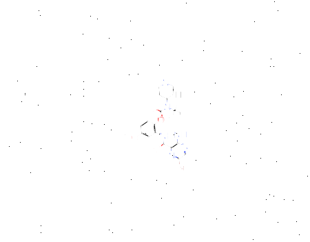 COc1ccc(OC(=O)N(C2CCNCC2)C(C)(C)C)c(NC(=O)c2nc(Br)cnc2N)c1